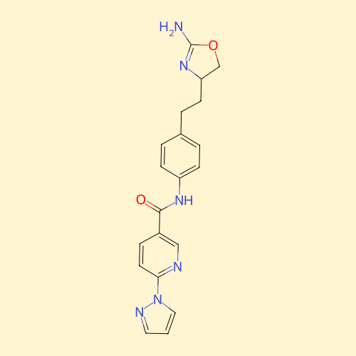 NC1=NC(CCc2ccc(NC(=O)c3ccc(-n4cccn4)nc3)cc2)CO1